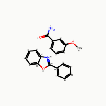 CCCOc1cccc(C(N)=O)c1.c1ccc(-c2nc3ccccc3o2)cc1